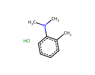 Cc1ccccc1N(C)C.Cl